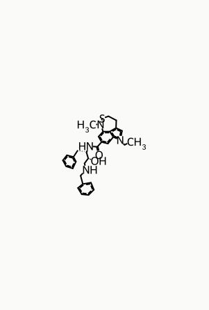 CCn1cc2c3c(cc(C(=O)N[C@@H](Cc4ccccc4)[C@H](O)CNCc4ccccc4)cc31)N(C)SCC2